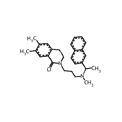 Cc1cc2c(cc1C)C(=O)N(CCCN(C)C(C)c1ccc3ccccc3c1)CC2